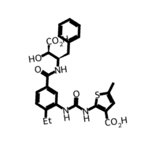 CCc1ccc(C(=O)N[C@H](Cc2ccccc2)[C@@H](O)C(=O)O)cc1NC(=O)Nc1sc(C)cc1C(=O)O